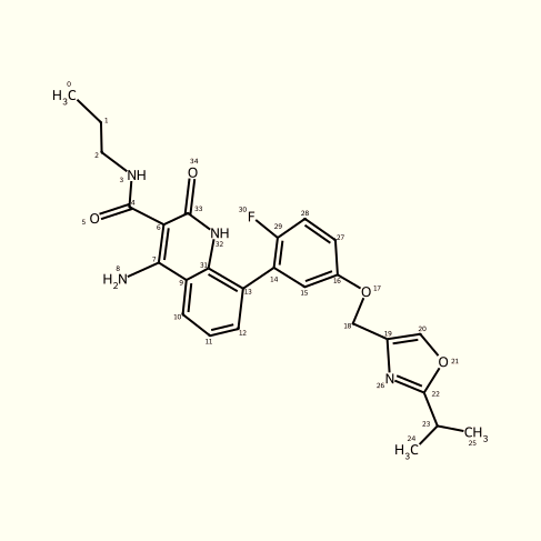 CCCNC(=O)c1c(N)c2cccc(-c3cc(OCc4coc(C(C)C)n4)ccc3F)c2[nH]c1=O